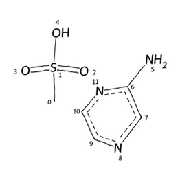 CS(=O)(=O)O.Nc1cnccn1